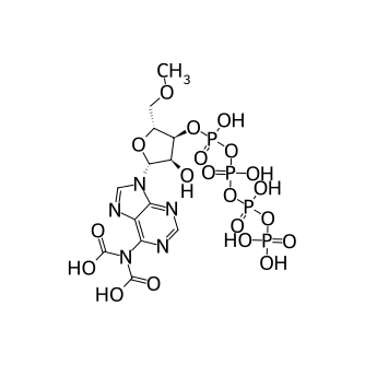 COC[C@H]1O[C@@H](n2cnc3c(N(C(=O)O)C(=O)O)ncnc32)[C@H](O)[C@@H]1OP(=O)(O)OP(=O)(O)OP(=O)(O)OP(=O)(O)O